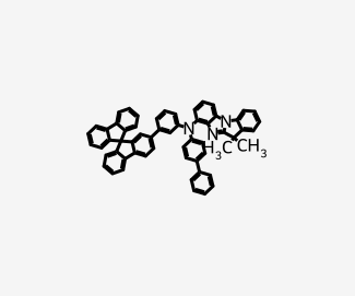 CC1(C)c2ccccc2-n2c1nc1c(N(c3ccc(-c4ccccc4)cc3)c3cccc(-c4ccc5c(c4)C4(c6ccccc6-c6ccccc64)c4ccccc4-5)c3)cccc12